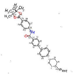 CCCCC[C@H]1CC[C@H](c2ccc(-c3ccc(C(=O)Nc4ccc(B5OC(C)(C)C(C)(C)O5)cc4)cc3)cc2)CC1